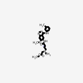 CCOC(=O)CN(C)C/C=C/C(=O)Nc1cc2c(Nc3cccc(C)c3)ncnc2cc1OC